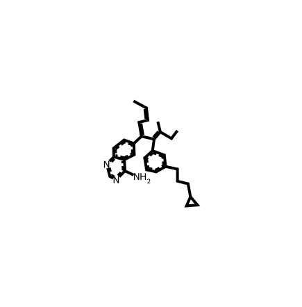 C\C=C/C=C(\C(=C(/C)CC)c1cccc(CCCC2CC2)c1)c1ccc2ncnc(N)c2c1